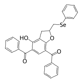 O=C(c1ccccc1)c1cc(C(=O)c2ccccc2)c2c(c1O)CC(C[Se]c1ccccc1)O2